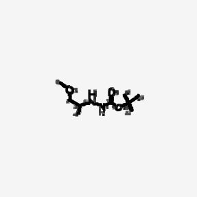 COCC(C)NNC(=O)OC(C)(C)C